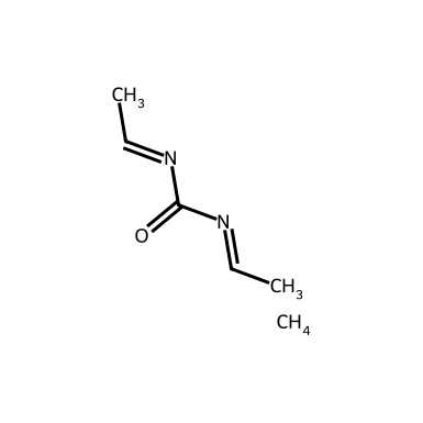 C.CC=NC(=O)N=CC